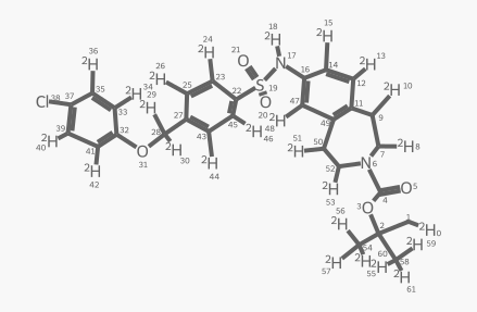 [2H]CC(OC(=O)N1C([2H])C([2H])c2c([2H])c([2H])c(N([2H])S(=O)(=O)c3c([2H])c([2H])c(C([2H])([2H])Oc4c([2H])c([2H])c(Cl)c([2H])c4[2H])c([2H])c3[2H])c([2H])c2C([2H])C1[2H])(C([2H])([2H])[2H])C([2H])([2H])[2H]